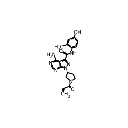 C=CC(=O)N1CC[C@@H](n2nc(C(=O)Nc3ccc(O)cc3C)c3c(N)ncnc32)C1